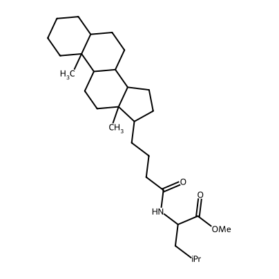 COC(=O)C(CC(C)C)NC(=O)CCCC1CCC2C3CCC4CCCCC4(C)C3CCC12C